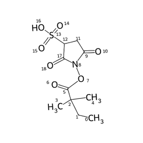 CCC(C)(C)C(=O)ON1C(=O)CC(S(=O)(=O)O)C1=O